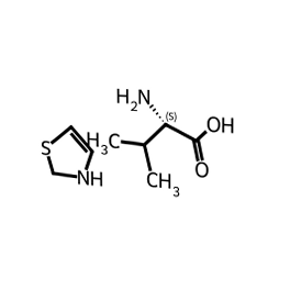 C1=CSCN1.CC(C)[C@H](N)C(=O)O